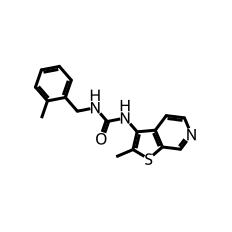 Cc1ccccc1CNC(=O)Nc1c(C)sc2cnccc12